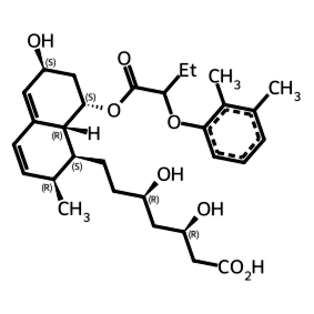 CCC(Oc1cccc(C)c1C)C(=O)O[C@H]1C[C@H](O)C=C2C=C[C@H](C)[C@H](CC[C@@H](O)C[C@@H](O)CC(=O)O)[C@H]21